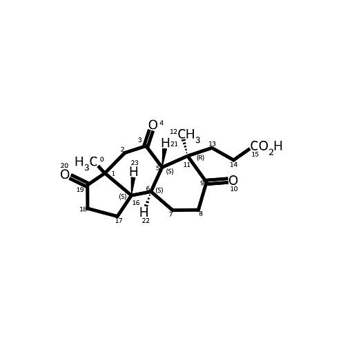 CC12CC(=O)[C@H]3[C@@H](CCC(=O)[C@]3(C)CCC(=O)O)[C@@H]1CCC2=O